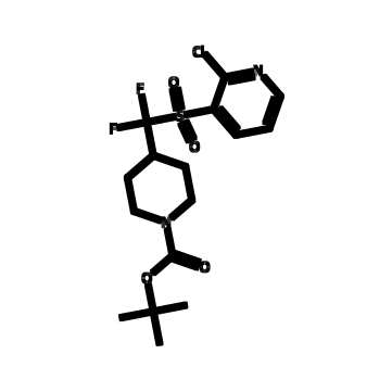 CC(C)(C)OC(=O)N1CCC(C(F)(F)S(=O)(=O)c2cccnc2Cl)CC1